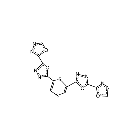 C1=C(c2nnc(-c3nnco3)o2)SC(c2nnc(-c3nnco3)o2)=CS1